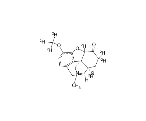 [2H]O[C@@]12CC([2H])([2H])C(=O)C3([2H])Oc4c(OC([2H])([2H])[2H])ccc5c4[C@@]31CCN(C)[C@@H]2C5